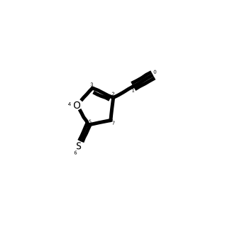 C#CC1=COC(=S)C1